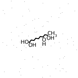 CC(O)CC(O)CCCCCC(O)O